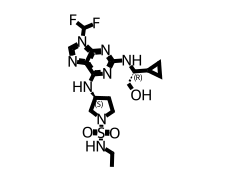 CCNS(=O)(=O)N1CC[C@H](Nc2nc(N[C@@H](CO)C3CC3)nc3c2ncn3C(F)F)C1